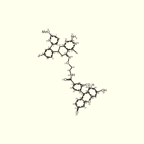 COc1cccc(-c2cc(F)ccc2C2CC(=NOCCNC(=O)c3ccc(-c4c5ccc(=O)cc-5oc5cc(O)ccc45)c(C(=O)O)c3)c3c(C)nc(N)nc3C2)n1